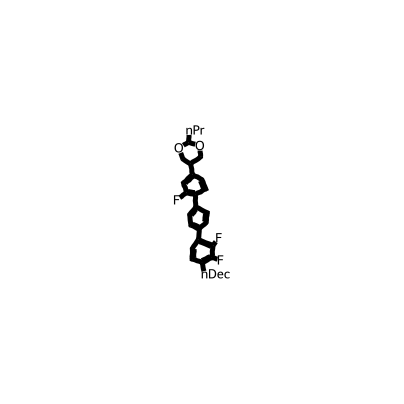 CCCCCCCCCCc1ccc(-c2ccc(-c3ccc(C4COC(CCC)OC4)cc3F)cc2)c(F)c1F